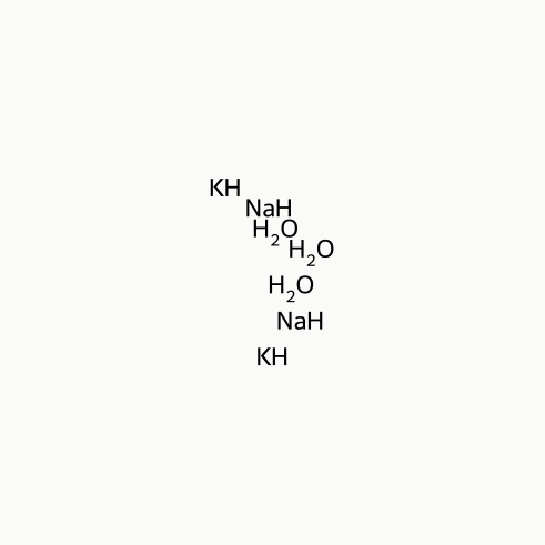 O.O.O.[KH].[KH].[NaH].[NaH]